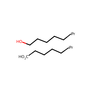 CC(C)CCCCC(=O)O.CC(C)CCCCCO